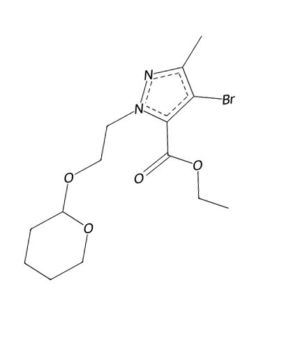 CCOC(=O)c1c(Br)c(C)nn1CCOC1CCCCO1